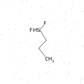 CCC[SiH](F)F